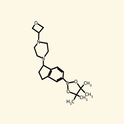 CC1(C)OB(c2ccc3c(c2)CCC3N2CCN(C3COC3)CC2)OC1(C)C